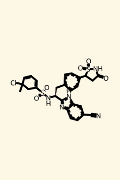 CC1(Cl)C=CC=C(S(=O)(=O)N[C@@H](Cc2ccc(C3CC(=O)NS3(=O)=O)cc2)c2nc3ccc(C#N)cc3[nH]2)C1